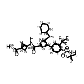 CC(C)(C)NS(=O)(=O)c1ccc(-c2sc(C(=O)NC34CC(C(=O)O)(C3)C4)nc2CC2CCCCC2)cc1C(F)(F)F